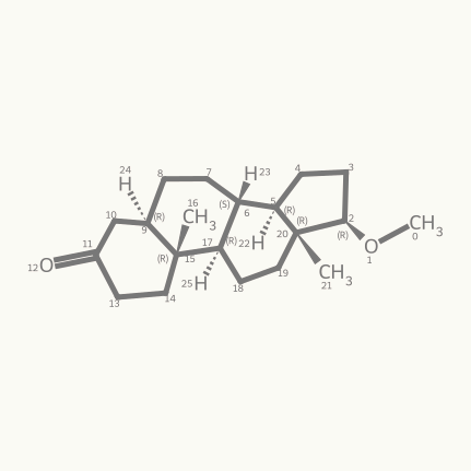 CO[C@@H]1CC[C@@H]2[C@H]3CC[C@@H]4CC(=O)CC[C@@]4(C)[C@@H]3CC[C@]21C